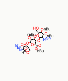 CCCCOC(=O)[C@@H]1O[C@@H](O[C@@H]2C3CO[C@H](O3)[C@@H](N=[N+]=[N-])C2O)[C@@H](OCCCC)C(OCCCC)[C@@H]1O[C@H]1O[C@@H](CO)[C@@H](OCCCC)[C@H](OCCCC)C1N=[N+]=[N-]